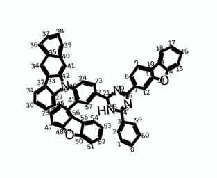 c1ccc(C2=NC(c3ccc4c(c3)oc3ccccc34)=NC(c3ccc(-n4c5ccccc5c5cc6ccccc6cc54)c(-c4cccc5oc6ccccc6c45)c3)N2)cc1